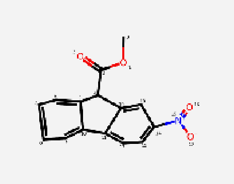 COC(=O)C1c2ccccc2-c2ccc([N+](=O)[O-])cc21